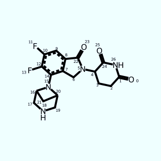 O=C1CCC(N2Cc3c(cc(F)c(F)c3N3C4CNCC3C4)C2=O)C(=O)N1